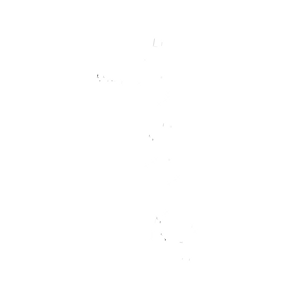 CCOc1ccc(C(=O)N2CCCc3cc(C4=NNC(=O)SC4C)ccc32)cc1OC